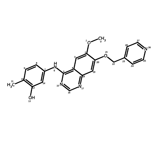 COc1cc2c(Nc3ccc(C)c(O)c3)ncnc2cc1OCc1ccncc1